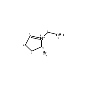 CCCCC[N+]1=CCCC1.[Br-]